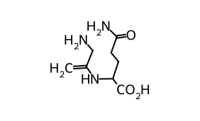 C=C(CN)NC(CCC(N)=O)C(=O)O